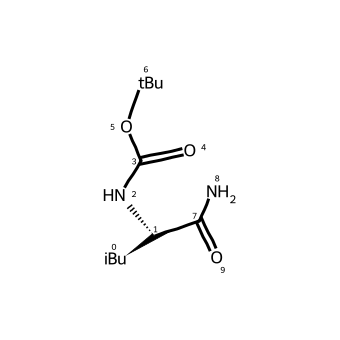 CC[C@H](C)[C@H](NC(=O)OC(C)(C)C)C(N)=O